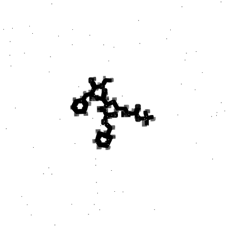 CCOC(=O)C(Cc1ccccc1)NC(=O)C(CCCNC(=O)OC(C)(C)C)NC(=O)OCc1ccccc1